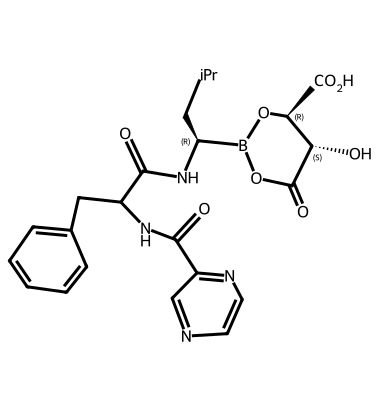 CC(C)C[C@H](NC(=O)C(Cc1ccccc1)NC(=O)c1cnccn1)B1OC(=O)[C@@H](O)[C@H](C(=O)O)O1